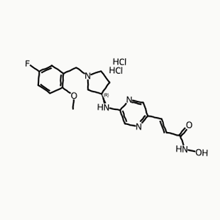 COc1ccc(F)cc1CN1CC[C@@H](Nc2cnc(C=CC(=O)NO)cn2)C1.Cl.Cl